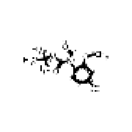 COc1cc(Cl)ccc1N(C=O)C(=O)OC(C)(C)C